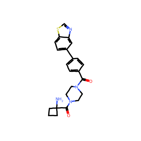 NC1(C(=O)N2CCN(C(=O)c3ccc(-c4ccc5scnc5c4)cc3)CC2)CCC1